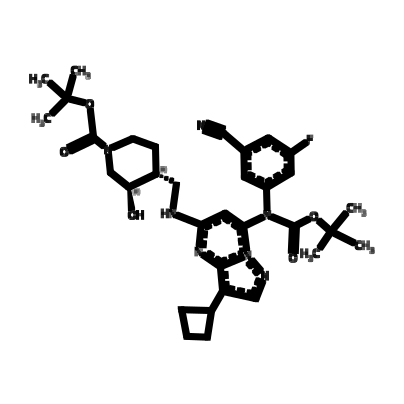 CC(C)(C)OC(=O)N1CC[C@H](CNc2cc(N(C(=O)OC(C)(C)C)c3cc(F)cc(C#N)c3)n3ncc(C4CCC4)c3n2)[C@@H](O)C1